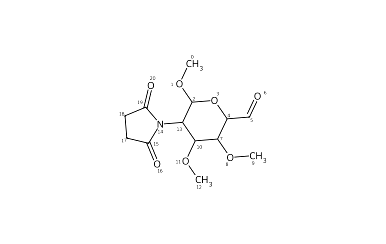 COC1OC(C=O)C(OC)C(OC)C1N1C(=O)CCC1=O